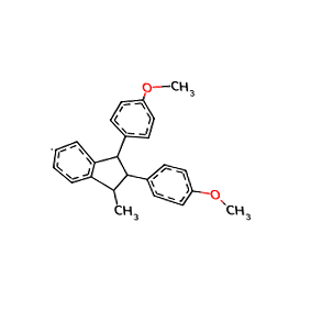 COc1ccc(C2c3c[c]ccc3C(C)C2c2ccc(OC)cc2)cc1